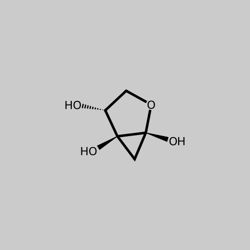 O[C@@H]1CO[C@]2(O)C[C@]12O